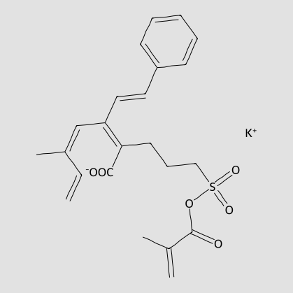 C=CC(C)=CC(C=Cc1ccccc1)=C(CCCS(=O)(=O)OC(=O)C(=C)C)C(=O)[O-].[K+]